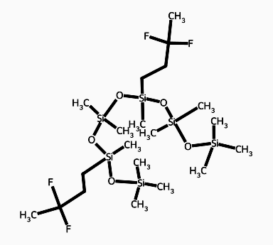 CC(F)(F)CC[Si](C)(O[Si](C)(C)C)O[Si](C)(C)O[Si](C)(CCC(C)(F)F)O[Si](C)(C)O[Si](C)(C)C